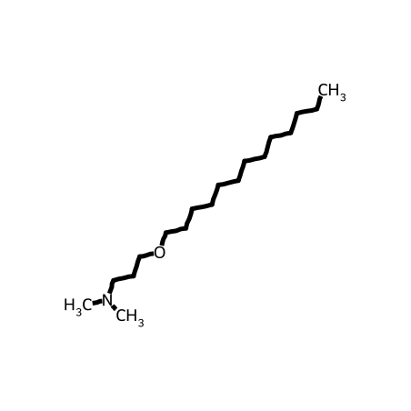 CCCCCCCCCCCCCOCCCN(C)C